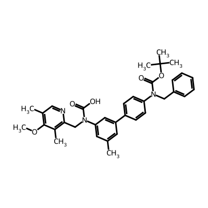 COc1c(C)cnc(CN(C(=O)O)c2cc(C)cc(-c3ccc(N(Cc4ccccc4)C(=O)OC(C)(C)C)cc3)c2)c1C